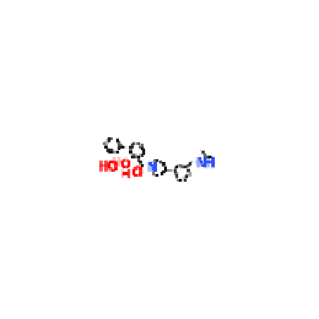 CC(C)NCc1cccc(C2CCN(C(=O)c3cccc(-c4ccccc4B(O)O)c3)CC2)c1